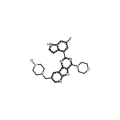 [O-][S+]1CCN(Cc2cnc3oc4c(N5CCOCC5)nc(-c5cc(F)cc6[nH]ccc56)nc4c3c2)CC1